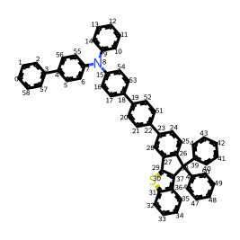 c1ccc(-c2ccc(N(c3ccccc3)c3ccc(-c4ccc(-c5ccc6c(c5)-c5sc7ccccc7c5C6(c5ccccc5)c5ccccc5)cc4)cc3)cc2)cc1